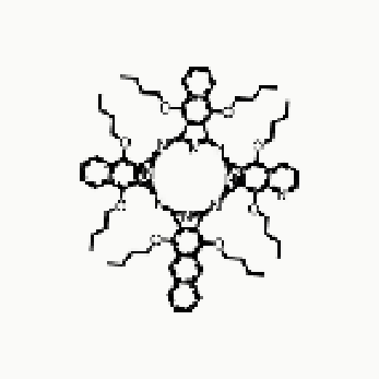 CCCCOc1c2c(c(OCCCC)c3ccccc13)-c1nc-2nc2[nH]c(nc3nc(nc4[nH]c(n1)c1c(OCCCC)c5cccnc5c(OCCCC)c41)-c1c-3c(OCCCC)c3cc4ccccc4cc3c1OCCCC)c1c(OCCCC)c3ccccc3c(OCCCC)c21